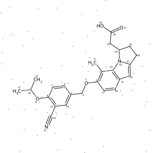 Cc1c(OCc2ccc(OC(C)C)c(C#N)c2)ccc2cc3n(c12)C(CC(=O)O)CC3